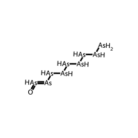 O=[AsH]=[As][AsH][AsH][AsH][AsH][AsH][AsH][AsH2]